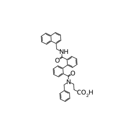 O=C(O)CCN(Cc1ccccc1)C(=O)c1ccccc1-c1ccccc1C(=O)NCc1cccc2ccccc12